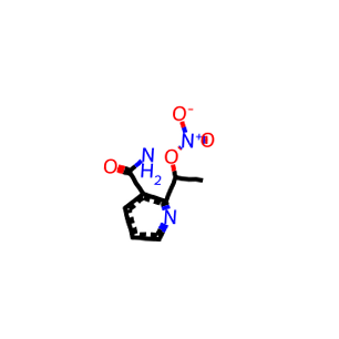 CC(O[N+](=O)[O-])c1ncccc1C(N)=O